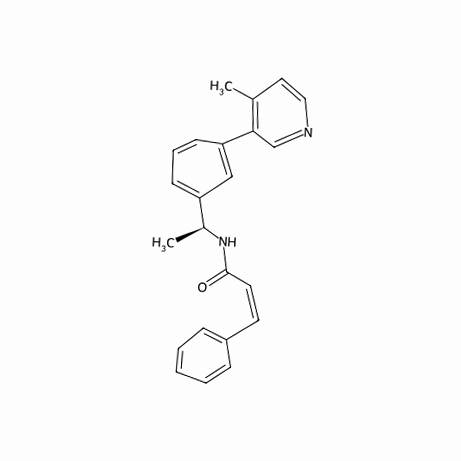 Cc1ccncc1-c1cccc([C@H](C)NC(=O)/C=C\c2ccccc2)c1